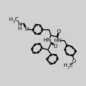 CN/C=N/c1ccc(CC(NC(=O)C(c2ccccc2)c2ccccc2)C(=O)NCc2ccc(OC)cc2)cc1